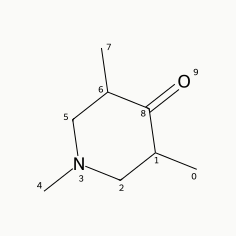 CC1CN(C)CC(C)C1=O